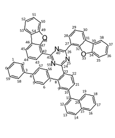 c1ccc(-c2ccc(-c3cc(-c4cccc5ccccc45)ccc3-c3nc(-c4cccc5c4oc4ccccc45)nc(-c4cccc5c4oc4ccccc45)n3)cc2)cc1